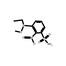 CCN(OC)c1cccc(S(N)(=O)=O)c1[N+](=O)[O-]